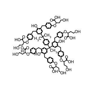 CC(C)(c1ccc(C(C)(c2cc(Cc3ccc(OC(CCO)C(=O)O)cc3)c(O)c(Cc3ccc(OC(CCO)C(=O)O)cc3)c2)c2cc(Cc3ccc(OC(CCO)C(=O)O)cc3)c(O)c(Cc3ccc(OC(CCO)C(=O)O)cc3)c2)cc1)c1cc(Cc2ccc(OC(CCO)C(=O)O)cc2)c(O)c(Cc2ccc(OC(CCO)C(=O)O)cc2)c1